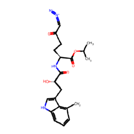 Cc1cccc2[nH]cc(C[C@H](O)C(=O)N[C@@H](CCC(=O)C=[N+]=[N-])C(=O)OC(C)C)c12